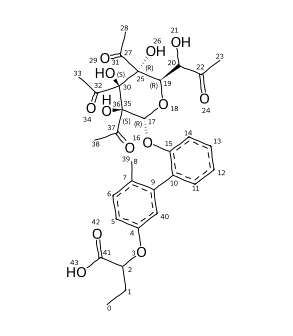 CCC(Oc1ccc(C)c(-c2ccccc2O[C@H]2O[C@H](C(O)C(C)=O)[C@](O)(C(C)=O)[C@@](O)(C(C)=O)[C@@]2(O)C(C)=O)c1)C(=O)O